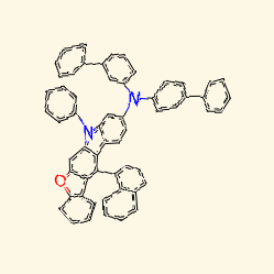 c1ccc(-c2ccc(N(c3cccc(-c4ccccc4)c3)c3ccc4c5c(-c6cccc7ccccc67)c6c(cc5n(-c5ccccc5)c4c3)oc3ccccc36)cc2)cc1